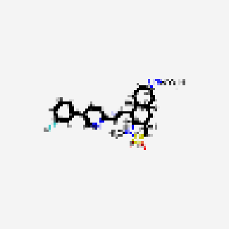 CN1[C@H]2[C@H](C[C@@H]3C[C@H](NC(=O)O)CC[C@H]3[C@@H]2/C=C/c2ccc(-c3cccc(F)c3)cn2)CS1(=O)=O